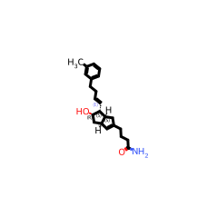 Cc1cccc(CC/C=C/[C@@H]2[C@H]3CC(CCCC(N)=O)=C[C@H]3C[C@H]2O)c1